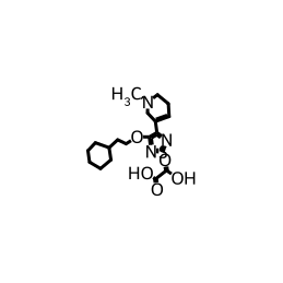 CN1CCC=C(c2nsnc2OCCC2CCCCC2)C1.O=C(O)C(=O)O